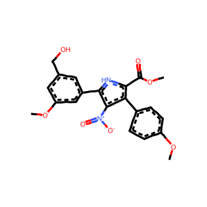 COC(=O)c1[nH]c(-c2cc(CO)cc(OC)c2)c([N+](=O)[O-])c1-c1ccc(OC)cc1